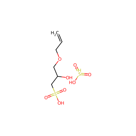 C=CCOCC(O)CS(=O)(=O)O.O=[SH](=O)O